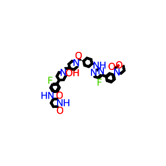 O=C1CCC(Nc2ccc(C3CCN(CC4(O)CCN(C(=O)[C@H]5CC[C@H](Nc6ncc(F)c(-c7cccc(N8CCCOC8=O)c7)n6)CC5)CC4)CC3)c(F)c2)C(=O)N1